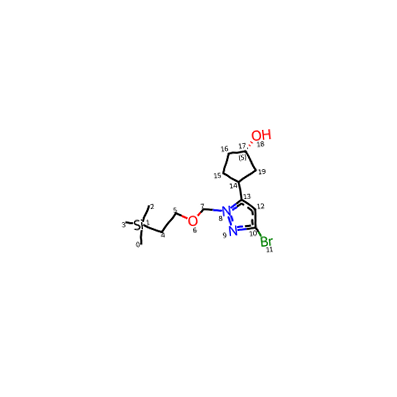 C[Si](C)(C)CCOCn1nc(Br)cc1C1CC[C@H](O)C1